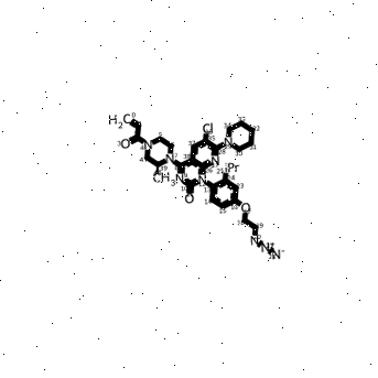 C=CC(=O)N1CCN(c2nc(=O)n(-c3ccc(OCCN=[N+]=[N-])cc3C(C)C)c3nc(N4CCCCC4)c(Cl)cc23)[C@@H](C)C1